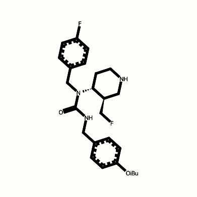 CC(C)COc1ccc(CNC(=O)N(Cc2ccc(F)cc2)[C@@H]2CCNC[C@H]2CF)cc1